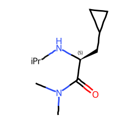 CC(C)N[C@@H](CC1CC1)C(=O)N(C)C